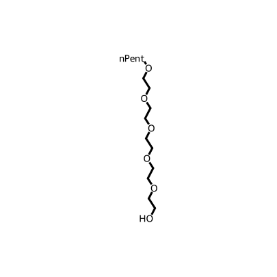 CCCCCOCCOCCOCCOCCOCCO